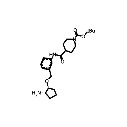 CC(C)(C)OC(=O)N1CCC(C(=O)Nc2cccc(CO[C@H]3CCC[C@@H]3N)c2)CC1